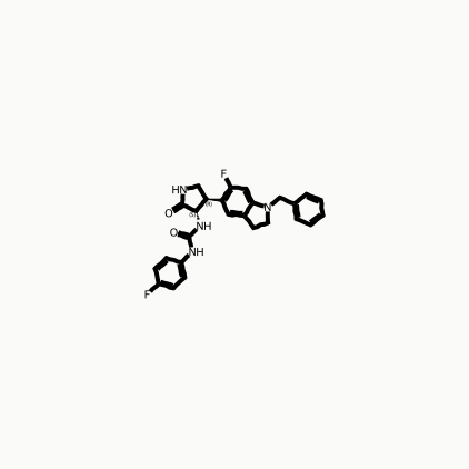 O=C(Nc1ccc(F)cc1)N[C@@H]1C(=O)NC[C@H]1c1cc2c(cc1F)N(Cc1ccccc1)CC2